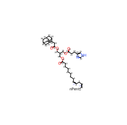 CCCCC/C=C\C/C=C\CCCCCCCC(=O)OCC(COC(=O)CCc1c[nH]cn1)COC(=O)CC1C2CC3CC(C2)CC1C3